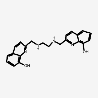 Oc1cccc2ccc(CNCCNCc3ccc4cccc(O)c4n3)nc12